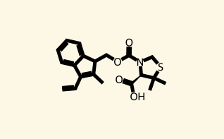 C=CC1=C(C)C(COC(=O)N2CSC(C)(C)[C@H]2C(=O)O)c2ccccc21